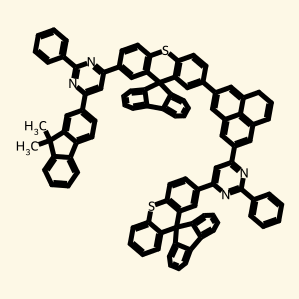 CC1(C)c2ccccc2-c2ccc(-c3cc(-c4ccc5c(c4)C4(c6cc(-c7cc8c9c(cc(-c%10cc(-c%11ccc%12c(c%11)C%11(c%13ccccc%13S%12)c%12ccccc%12-c%12ccccc%12%11)nc(-c%11ccccc%11)n%10)cc9c7)C=CC8)ccc6S5)c5ccccc5-c5ccccc54)nc(-c4ccccc4)n3)cc21